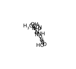 CC(C)(O)Cn1cc(-c2ccnc(Nc3ccc(N4CCN(C(=O)O)CC4)cc3)n2)c(-c2cccnc2)n1